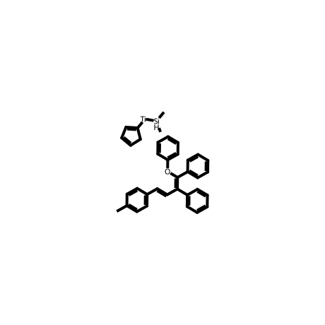 C[SiH](C)[Ti][C]1=CC=CC1.Cc1ccc(C=CC(=C(Oc2ccccc2)c2ccccc2)c2ccccc2)cc1